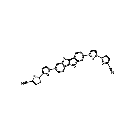 N#CC1=CCC(c2ccc(-c3ccc4c(c3)sc3c5ccc(-c6ccc(-c7ccc(C#N)s7)s6)cc5sc43)s2)S1